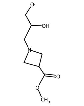 COC(=O)C1CN(CC(O)C[O])C1